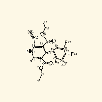 CCOC(=O)C1=C(C)NC(C#N)=C(C(=O)OCC)C1c1cc(F)c(F)c(F)c1C